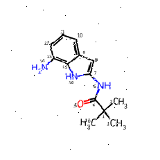 CC(C)(C)C(=O)Nc1cc2cccc(N)c2[nH]1